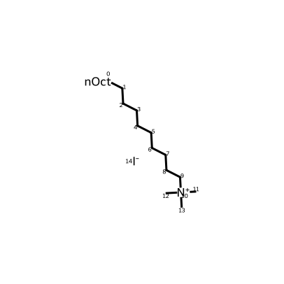 CCCCCCCCCCCCCCCCC[N+](C)(C)C.[I-]